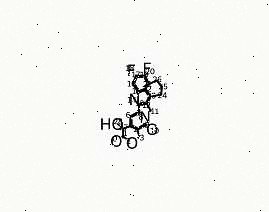 O=C1OCc2c(cc3n(c2=O)Cc2c-3nc3cc(F)c(F)c4c3c2CCC4)[C@@H]1O